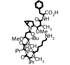 CCC(C)[C@@H](C(CC(=O)N1C2CC2C[C@H]1C(OC)[C@@H](C)C(=O)NC(Cc1ccccc1)C(=O)O)OC)N(C)C(=O)[C@@H](NC(=O)[C@H](C(C)C)N(C)C(=O)CCCCCN)C(C)C